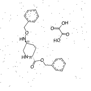 O=C(O)C(=O)O.O=C(OCc1ccccc1)[C@H]1CC[C@H](NOCc2ccccc2)CN1